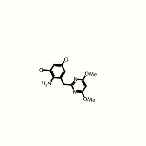 COc1cc(OC)nc(Cc2cc(Cl)cc(Cl)c2N)n1